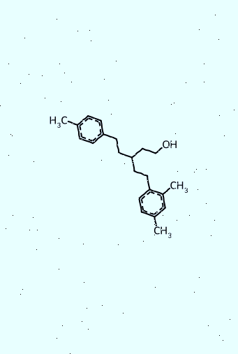 Cc1ccc(CCC(CCO)CCc2ccc(C)cc2C)cc1